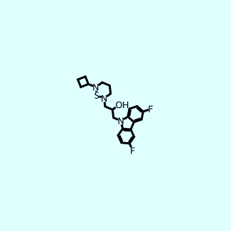 OC(CN1CCCN(C2CCC2)S1)Cn1c2ccc(F)cc2c2cc(F)ccc21